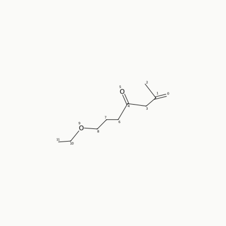 C=C(C)CC(=O)CCCOCC